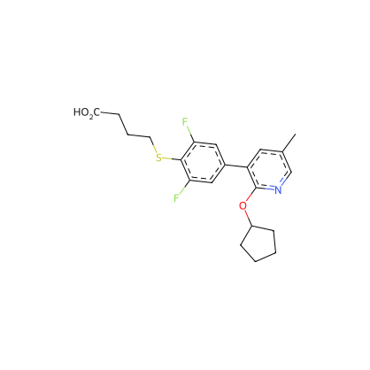 Cc1cnc(OC2CCCC2)c(-c2cc(F)c(SCCCC(=O)O)c(F)c2)c1